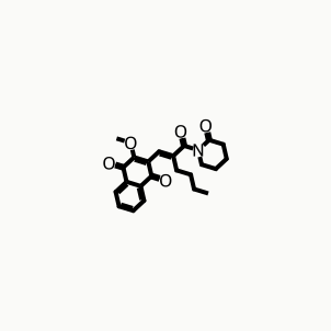 CCCCC(=CC1=C(OC)C(=O)c2ccccc2C1=O)C(=O)N1CCCCC1=O